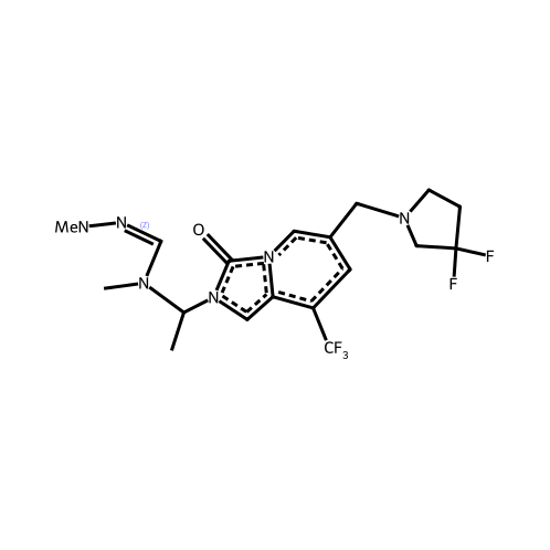 CN/N=C\N(C)C(C)n1cc2c(C(F)(F)F)cc(CN3CCC(F)(F)C3)cn2c1=O